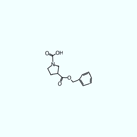 O=C(OCc1ccccc1)C1CCN(C(=O)O)C1